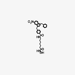 O=C(CCCCCCNC(=O)c1ccc(Cc2cn(Cc3ccccc3)c3ccc([N+](=O)[O-])cc23)cc1)NO